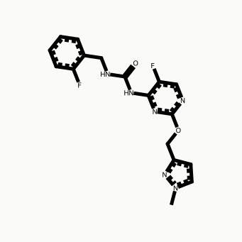 Cn1ccc(COc2ncc(F)c(NC(=O)NCc3ccccc3F)n2)n1